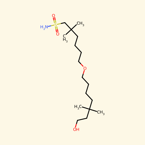 CC(C)(CCO)CCCCOCCCCC(C)(C)CS(N)(=O)=O